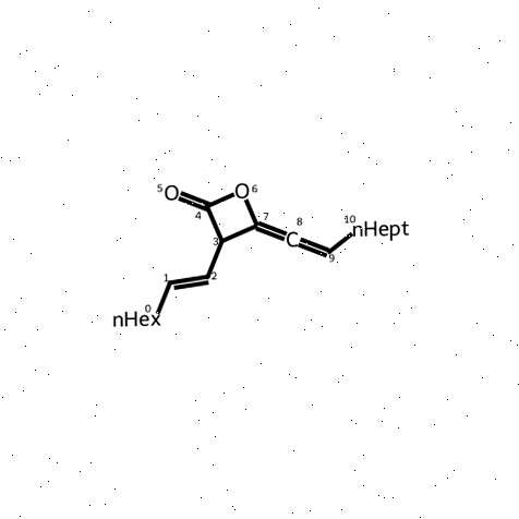 CCCCCC/C=C/C1C(=O)OC1=C=CCCCCCCC